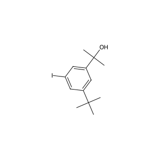 CC(C)(C)c1cc(I)cc(C(C)(C)O)c1